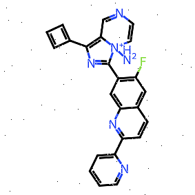 N[N+]12C=CN=CC1=C(C1=CC=C1)N=C2c1cc2nc(-c3ccccn3)ccc2cc1F